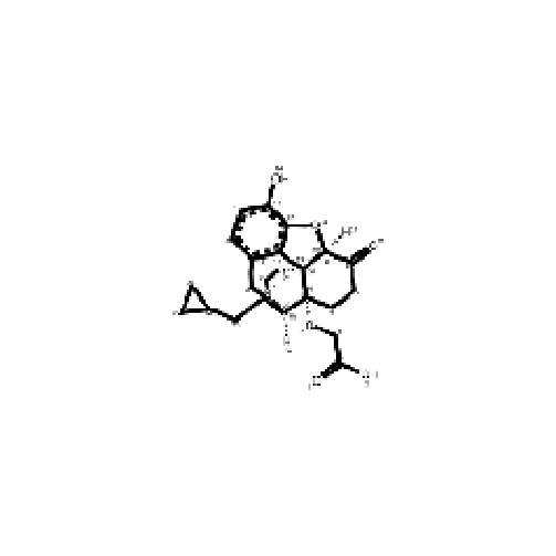 O=C(O)CO[C@@]12CCC(=O)[C@@H]3Oc4c(O)ccc5c4[C@@]31CCN(CC1CC1)[C@@H]2C5